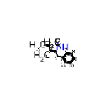 C=C(CC)[C@H](Cc1ccccc1)NC